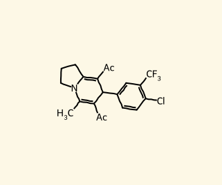 CC(=O)C1=C(C)N2CCCC2=C(C(C)=O)C1c1ccc(Cl)c(C(F)(F)F)c1